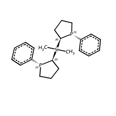 C[Si](C)([C@H]1CCC[P@]1c1ccccc1)[C@H]1CCC[P@]1c1ccccc1